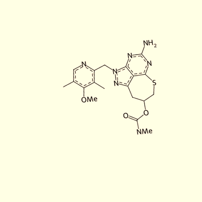 CNC(=O)OC1CSc2nc(N)nc3c2c(nn3Cc2ncc(C)c(OC)c2C)C1